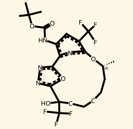 C[C@@H]1CCCCCC(O)(C(F)(F)F)c2nnc(o2)-c2nc(c(C(F)(F)F)cc2NC(=O)OC(C)(C)C)O1